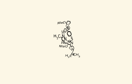 COc1ccccc1CS(=O)(=O)c1ccc(Sc2nc(Nc3cc(C)[nH]n3)c(OC)c(N3CCN(CCN(C)C)CC3)n2)cc1